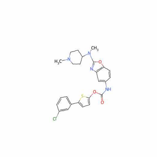 CN1CCC(N(C)c2nc3cc(NC(=O)Oc4ccc(-c5cccc(Cl)c5)s4)ccc3o2)CC1